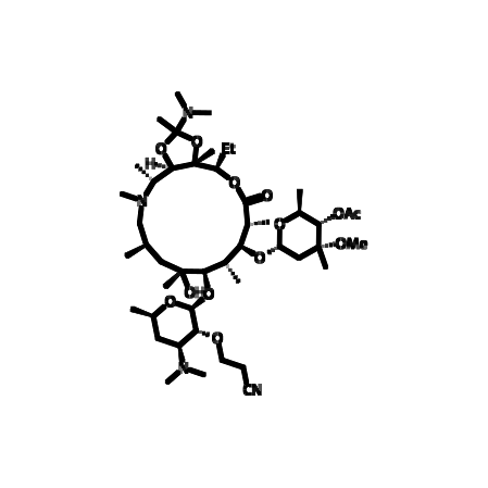 CC[C@H]1OC(=O)[C@H](C)[C@@H](O[C@H]2C[C@@](C)(OC)[C@@H](OC(C)=O)[C@H](C)O2)[C@H](C)[C@@H](O[C@@H]2O[C@H](C)C[C@H](N(C)C)[C@H]2OCCC#N)[C@](C)(O)C[C@@H](C)CN(C)[C@H](C)[C@H]2OC(C)(N(C)C)O[C@@]21C